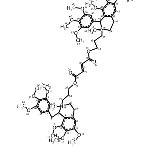 COc1cc(CC2c3c(cc(OC)c(OC)c3OC)CC[N+]2(C)CCCOC(=O)/C=C/C(=O)OCCC[N+]2(C)CCc3cc(OC)c(OC)c(OC)c3C2c2cc(OC)c(OC)c(OC)c2)cc(OC)c1OC